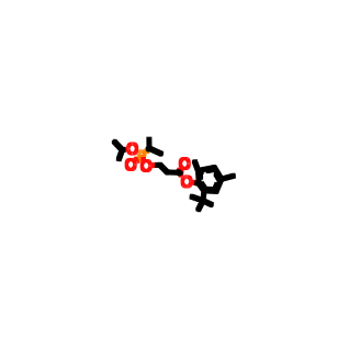 Cc1cc(C)c(OC(=O)CCOP(=O)(OC(C)C)C(C)C)c(C(C)(C)C)c1